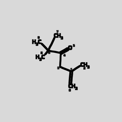 C=C(C)CC(=O)C(C)(C)C